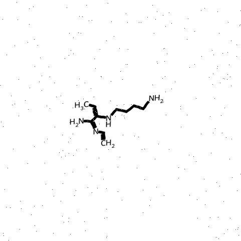 C=C/N=C(N)\C(=C/C)NCCCCN